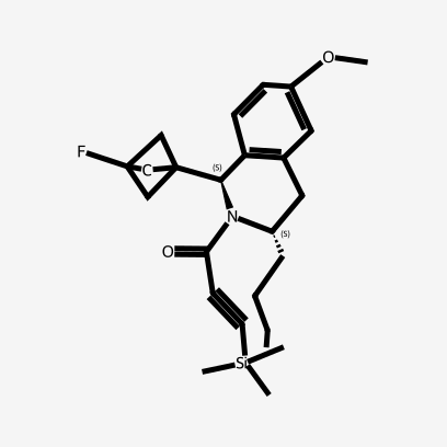 CCCC[C@H]1Cc2cc(OC)ccc2[C@H](C23CC(F)(C2)C3)N1C(=O)C#C[Si](C)(C)C